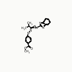 COC(=O)c1ccc(/N=N/C(=N\Nc2nc3ccccc3s2)C(C)C)cc1